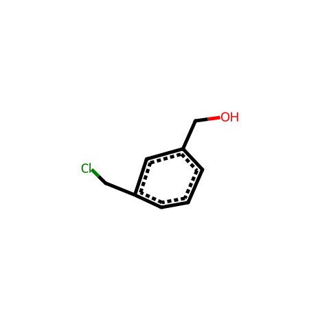 OCc1cccc(CCl)c1